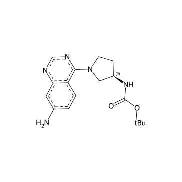 CC(C)(C)OC(=O)N[C@@H]1CCN(c2ncnc3cc(N)ccc23)C1